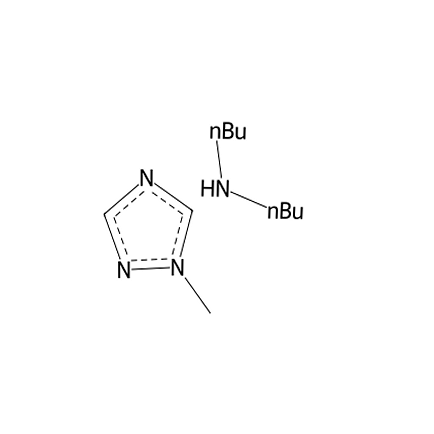 CCCCNCCCC.Cn1cncn1